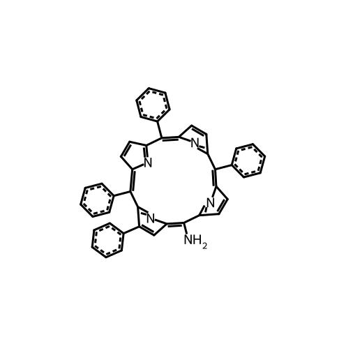 NC1=C2C=C(c3ccccc3)C(=N2)C(c2ccccc2)=C2C=CC(=N2)C(c2ccccc2)=C2C=CC(=N2)C(c2ccccc2)=C2C=CC1=N2